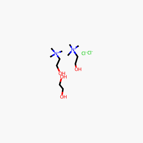 C[N+](C)(C)CCO.C[N+](C)(C)CCO.OCCO.[Cl-].[Cl-]